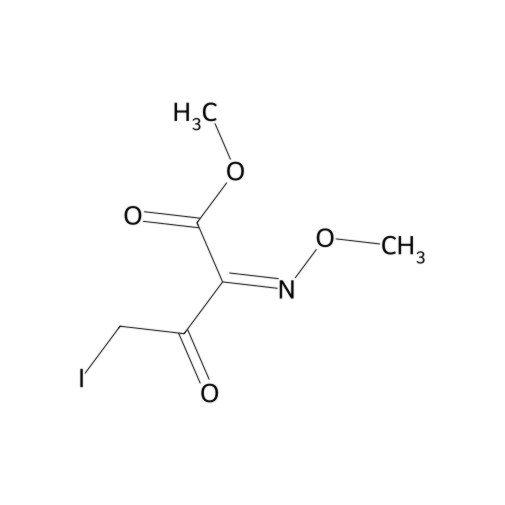 CO/N=C(/C(=O)CI)C(=O)OC